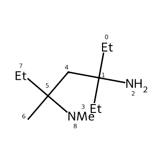 CCC(N)(CC)CC(C)(CC)NC